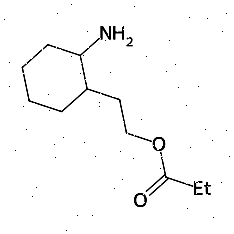 CCC(=O)OCCC1CCCCC1N